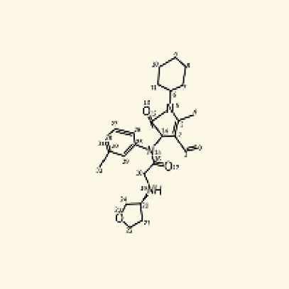 C=CC1=C(C)N(C2CCCCC2)C(=O)C1N(C(=O)CN[C@H]1CCOC1)C(/C=C\C)=C/C(=C)C